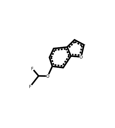 FC(F)Oc1ccc2c[c]oc2c1